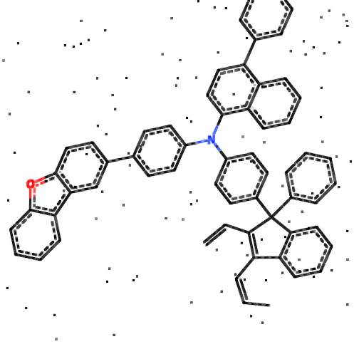 C=CC1=C(/C=C\C)c2ccccc2C1(c1ccccc1)c1ccc(N(c2ccc(-c3ccc4oc5ccccc5c4c3)cc2)c2ccc(-c3ccccc3)c3ccccc23)cc1